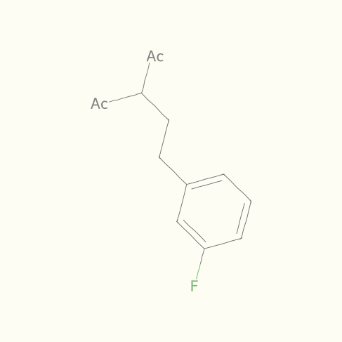 CC(=O)C(CCc1cccc(F)c1)C(C)=O